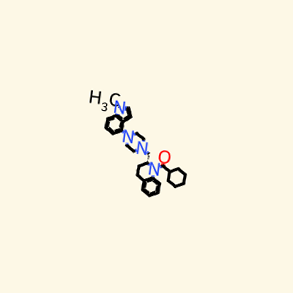 Cn1ccc2c(N3CCN(C[C@H]4CCc5ccccc5N4C(=O)C4CCCCC4)CC3)cccc21